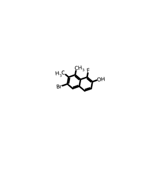 Cc1c(Br)cc2ccc(O)c(F)c2c1C